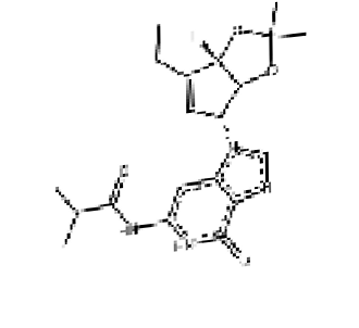 CCC1=C[C@@H](n2cnc3c(=O)[nH]c(NC(=O)C(C)C)cc32)C2OC(C)(C)O[C@@H]12